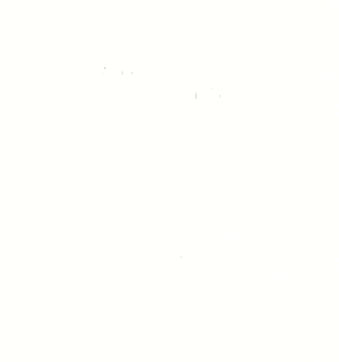 CCCCCCCCC(OC(C)=O)c1coc([Si](C)(C)C)c1